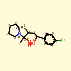 CC(=O)C(CC(O)c1ccc(F)cc1)C(C)(O)N1CCCCC1